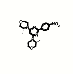 C[C@@H]1COCCN1c1cc(N2CCOC[C@H]2C)nc(-c2ccc([N+](=O)[O-])cc2)n1